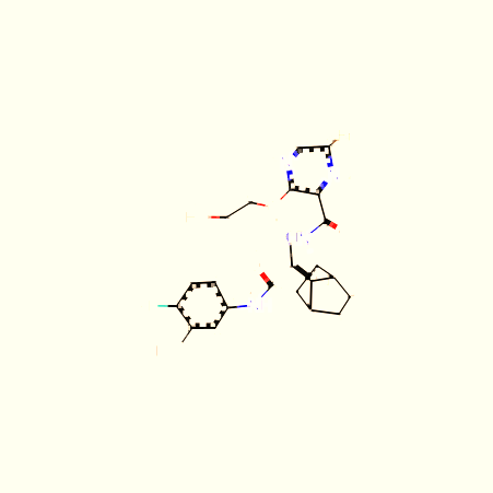 O=C(N[C@@H]1C2CCC(/C2=C/C(F)(F)F)[C@@H]1C(=O)Nc1ccc(F)c(C(F)(F)F)c1)c1nc(Br)cnc1OCCO